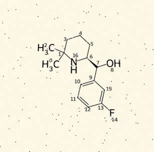 CC1(C)CCC[C@@H](C(O)c2cccc(F)c2)N1